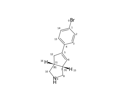 Brc1ccc(C2=C[C@@H]3CNC[C@@H]3C2)cc1